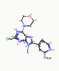 COc1cc(-c2nc3c(N4CCOCC4)nc(Cl)nc3n2C)ccn1